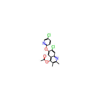 CC(=O)Oc1c(C)c(C)nc2cc(Cl)c(Oc3ccc(Cl)cn3)cc12